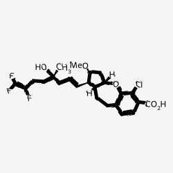 CO[C@@H]1C[C@@H]2Oc3c(ccc(C(=O)O)c3Cl)CC[C@@H]2[C@H]1/C=C/C[C@@](C)(O)CCC(F)=C(F)F